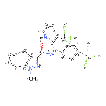 Cn1nc(C(=O)N[C@@H](c2ccc(C(F)(F)F)cc2)c2ncccc2C(F)(F)F)c2ccccc21